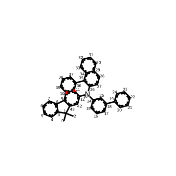 CC1(C)c2ccccc2-c2ccc(N(c3cccc(-c4ccccc4)c3)c3ccc4ccccc4c3-c3ccccc3)cc21